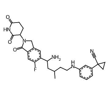 CC(CCNc1cccc(C2(C#N)CC2)c1)CC(N)c1cc2c(cc1F)C(=O)N(C1CCC(=O)NC1=O)C2